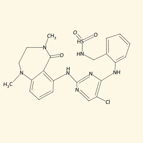 CN1CCN(C)c2cccc(Nc3ncc(Cl)c(Nc4ccccc4CN[SH](=O)=O)n3)c2C1=O